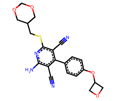 N#Cc1c(N)nc(SCC2COCOC2)c(C#N)c1-c1ccc(OC2COC2)cc1